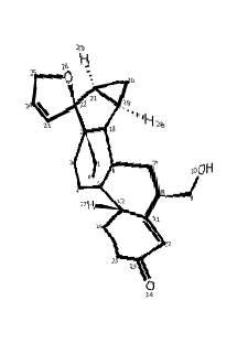 CC[C@]12CCC3C(C[C@@H](CO)C4=CC(=O)CC[C@@H]43)C1[C@@H]1C[C@@H]1[C@@]21C=CCO1